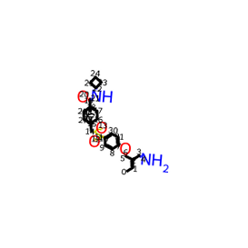 C/C=C(/CN)COc1ccc(S(=O)(=O)CC23CCC(C(=O)NC4CCC4)(CC2)CC3)cc1